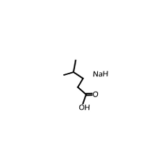 CC(C)CCC(=O)O.[NaH]